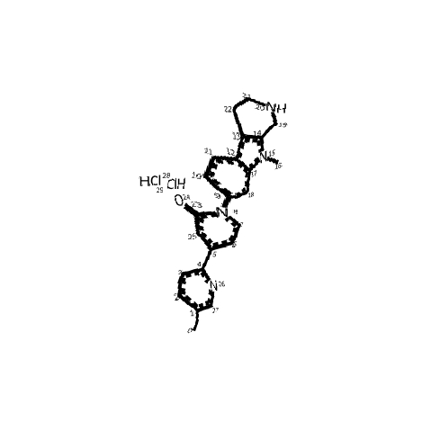 Cc1ccc(-c2ccn(-c3ccc4c5c(n(C)c4c3)CNCC5)c(=O)c2)nc1.Cl.Cl